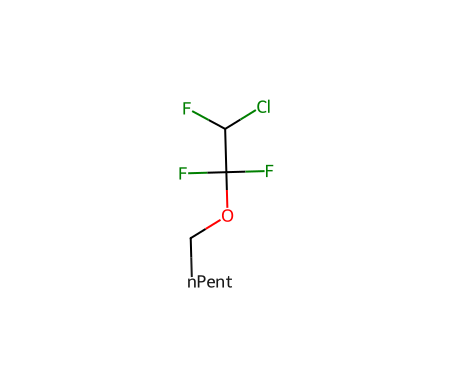 [CH2]CCCCCOC(F)(F)C(F)Cl